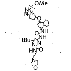 COCC(C)(C)c1nnc2ccc(O[C@@H]3CC[C@H](NC(=O)Nc4cc(C(C)(C)C)nc(C(=O)NCCN5CCOCC5)n4)c4ccccc43)cn12